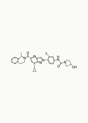 CC1c2ccccc2CCN1C(=O)c1cc(C2CC2)c2nn(-c3ccc(NC(=O)N4CCC(O)C4)cc3F)cc2n1